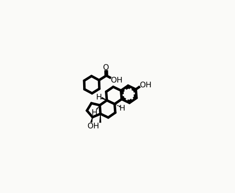 C[C@]12CC[C@@H]3c4ccc(O)cc4CC[C@H]3[C@@H]1CC[C@@H]2O.O=C(O)C1CCCCC1